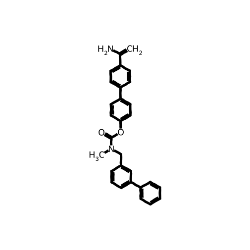 C=C(N)c1ccc(-c2ccc(OC(=O)N(C)Cc3cccc(-c4ccccc4)c3)cc2)cc1